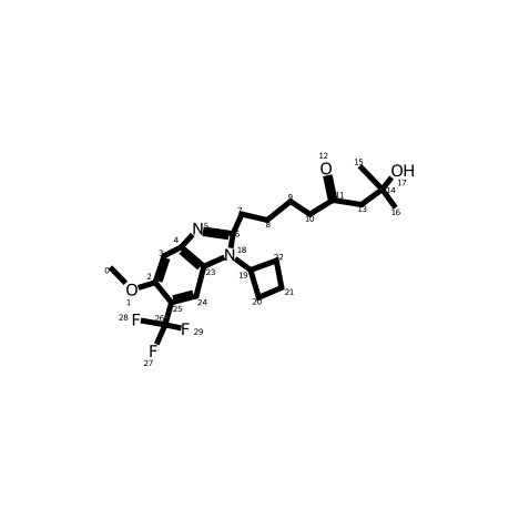 COc1cc2nc(CCCCC(=O)CC(C)(C)O)n(C3CCC3)c2cc1C(F)(F)F